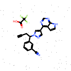 C#CCC(c1cccc(C#N)c1)n1cc(-c2ncnc3[nH]ccc23)cn1.O=C(O)C(F)(F)F